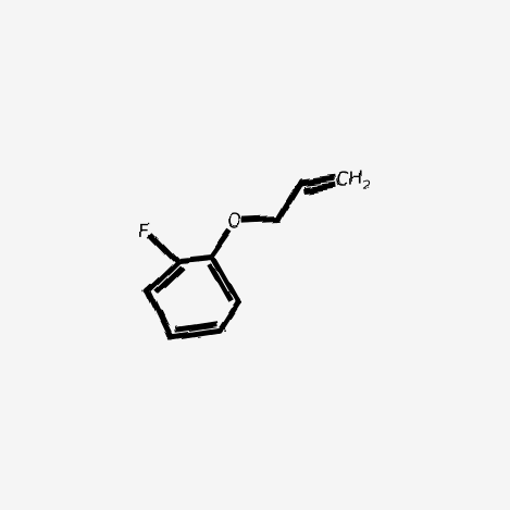 C=CCOc1c[c]ccc1F